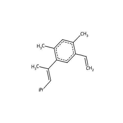 C=Cc1cc(/C(C)=C/C(C)C)c(C)cc1C